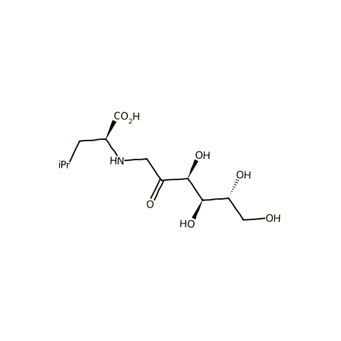 CC(C)C[C@H](NCC(=O)[C@@H](O)[C@H](O)[C@H](O)CO)C(=O)O